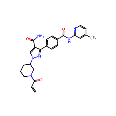 C=CC(=O)N1CCCC(n2cc(C(N)=O)c(-c3ccc(C(=O)Nc4cc(C(F)(F)F)ccn4)cc3)n2)C1